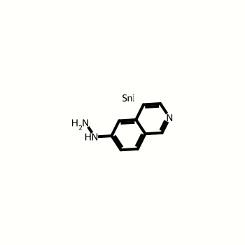 NNc1ccc2cnccc2c1.[Sn]